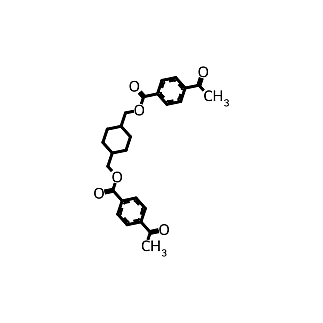 CC(=O)c1ccc(C(=O)OCC2CCC(COC(=O)c3ccc(C(C)=O)cc3)CC2)cc1